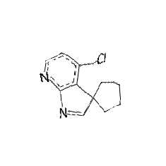 Clc1ccnc2c1C1(C=N2)CCCC1